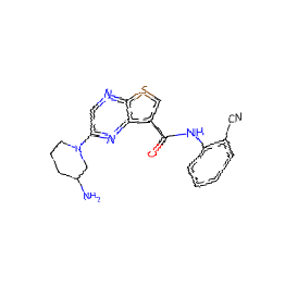 N#Cc1ccccc1NC(=O)c1csc2ncc(N3CCCC(N)C3)nc12